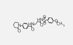 COc1ccc(S(=O)(=O)NC(=O)CCNC(=O)c2ccc(N3CCCCC3=O)cc2)cc1